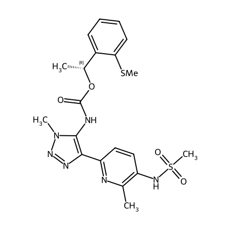 CSc1ccccc1[C@@H](C)OC(=O)Nc1c(-c2ccc(NS(C)(=O)=O)c(C)n2)nnn1C